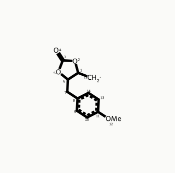 [CH2]C1OC(=O)OC1Cc1ccc(OC)cc1